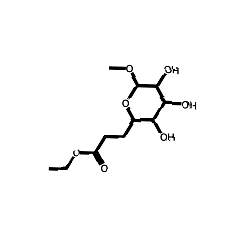 CCOC(=O)CCC1OC(OC)C(O)C(O)C1O